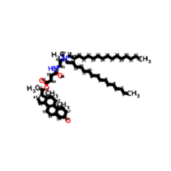 CCCCCCCCCCCCCCCC[N+](C)(CCCCCCCCCCCCCCCC)CCNC(=O)CCC(=O)O[C@@H](C)[C@H]1CCC2C3CCC4=CC(=O)CC[C@]4(C)C3CC[C@@]21C